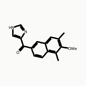 COc1c(C)cc2cc(C(=O)c3c[nH]cn3)ccc2c1C